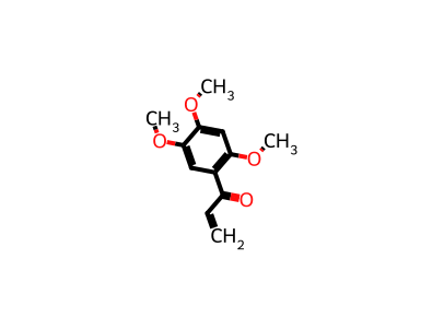 C=CC(=O)c1cc(OC)c(OC)cc1OC